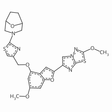 COc1cc(OCc2csc(N3CC4CCC(C3)O4)n2)c2cc(-c3cn4nc(OC)sc4n3)oc2c1